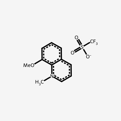 COc1cccc2ccc[n+](C)c12.O=S(=O)([O-])C(F)(F)F